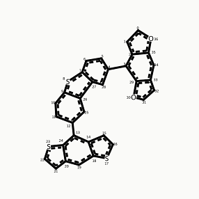 c1cc2c(-c3ccc4sc5ccc(-c6c7ccsc7cc7ccsc67)cc5c4c3)c3occc3cc2o1